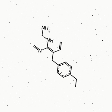 C=C/C(Cc1ccc(CC)cc1)=C(/N=C)NCN